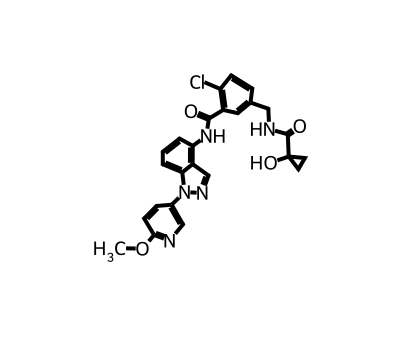 COc1ccc(-n2ncc3c(NC(=O)c4cc(CNC(=O)C5(O)CC5)ccc4Cl)cccc32)cn1